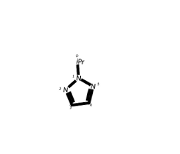 CC(C)n1n[c]cn1